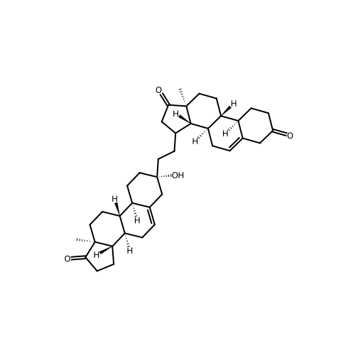 C[C@]12CC[C@H]3[C@@H](CC=C4C[C@](O)(CCC5CC(=O)[C@@]6(C)CC[C@H]7[C@@H](CC=C8CC(=O)CC[C@@H]87)[C@H]56)CC[C@@H]43)[C@@H]1CCC2=O